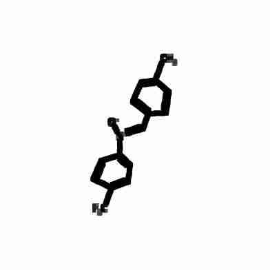 Cc1ccc(C=[N+]([O-])c2ccc(C(F)(F)F)cc2)cc1